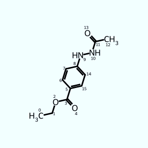 CCOC(=O)c1ccc(NNC(C)=O)cc1